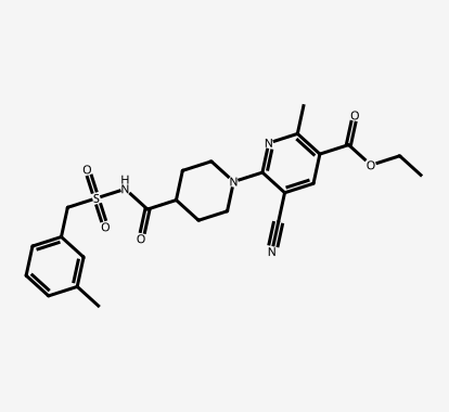 CCOC(=O)c1cc(C#N)c(N2CCC(C(=O)NS(=O)(=O)Cc3cccc(C)c3)CC2)nc1C